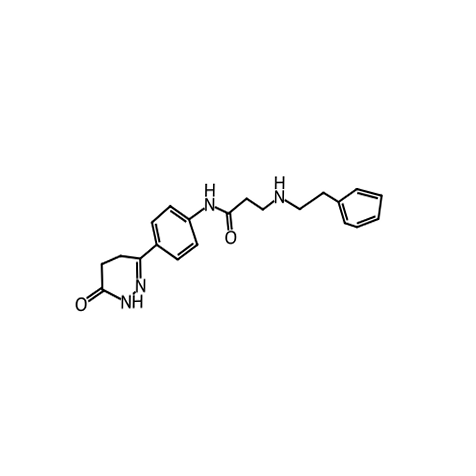 O=C1CCC(c2ccc(NC(=O)CCNCCc3ccccc3)cc2)=NN1